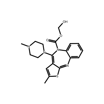 Cc1cc2c(s1)=Nc1ccccc1N(C(=O)OCO)C=2N1CCN(C)CC1